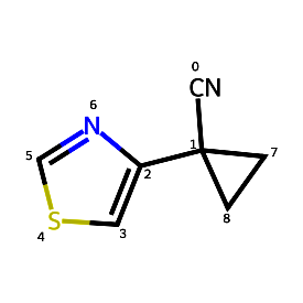 N#CC1(c2cscn2)CC1